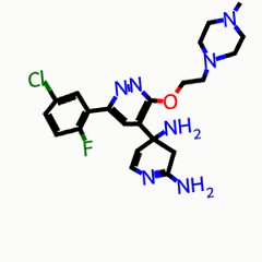 CN1CCN(CCOc2nnc(-c3cc(Cl)ccc3F)cc2C2(N)C=CN=C(N)C2)CC1